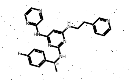 C[C@H](Nc1nc(NCCc2cccnc2)cc(Nc2cnccn2)n1)c1ccc(F)cc1